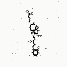 O=C(O)COC[C@H]1CC[C@@H]2[C@@H](C=C[C@@H](O)COc3ccccc3Cl)[C@H](O)C[C@@H]2OC1